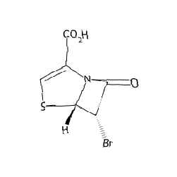 O=C(O)C1=CS[C@H]2[C@@H](Br)C(=O)N12